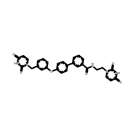 O=C(NCCn1ccc(=O)[nH]c1=O)c1cccc(-c2ccc(Oc3cccc(Cn4ccc(=O)[nH]c4=O)c3)cc2)c1